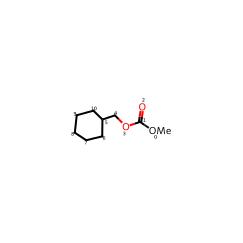 [CH2]OC(=O)OCC1CCCCC1